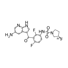 Nc1cnc2[nH]cc(C(=O)c3c(F)ccc(NS(=O)(=O)N4CC[C@@H](F)C4)c3F)c2c1